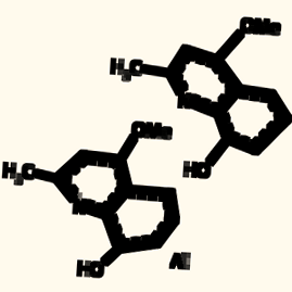 COc1cc(C)nc2c(O)cccc12.COc1cc(C)nc2c(O)cccc12.[Al]